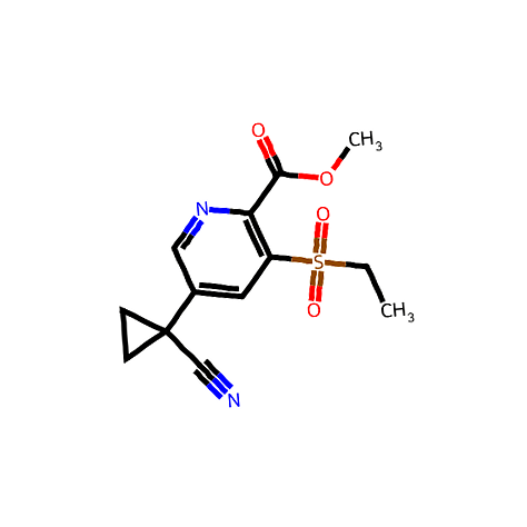 CCS(=O)(=O)c1cc(C2(C#N)CC2)cnc1C(=O)OC